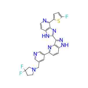 Fc1ccc(-c2nccc3[nH]c(-c4n[nH]c5ccc(-c6cncc(CN7CCC(F)(F)C7)c6)nc45)nc23)s1